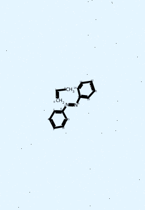 C=CC.c1ccc(N=Nc2ccccc2)cc1